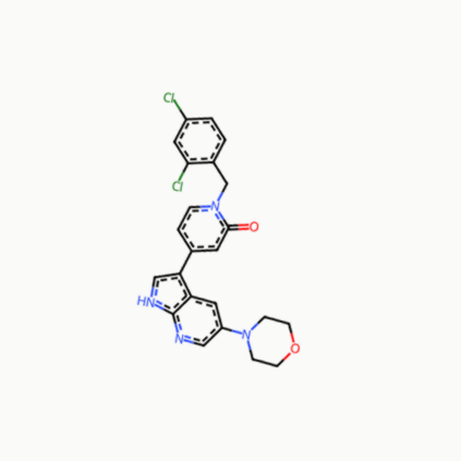 O=c1cc(-c2c[nH]c3ncc(N4CCOCC4)cc23)ccn1Cc1ccc(Cl)cc1Cl